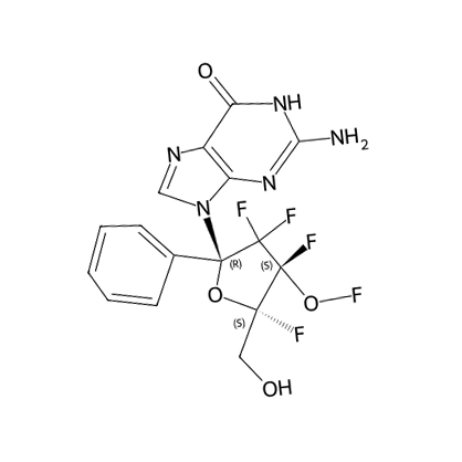 Nc1nc2c(ncn2[C@]2(c3ccccc3)O[C@](F)(CO)[C@@](F)(OF)C2(F)F)c(=O)[nH]1